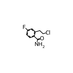 NC(=O)c1ccc(F)cc1CCCl